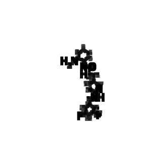 Nc1ccccc1NC(=O)/C=C/c1ccc(NCc2cc(F)cc(F)c2)nc1